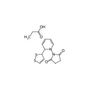 CCC(=O)O.O=C1CCC(=O)N1N1C=CC=CC1C1C=CSS1